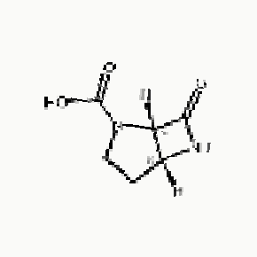 O=C1N[C@@H]2CCN(C(=O)O)[C@H]12